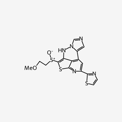 COCC[S+]([O-])c1sc2nc(-c3nccs3)cc3c2c1[nH]n1cncc31